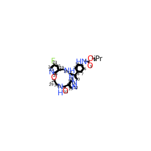 CC(C)OC(=O)Nc1ccc(-c2cn3ncc4c3nc2NCc2cc(F)cnc2O[C@@H](C)CNC4=O)cc1